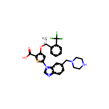 C[C@@H](Oc1cc(-n2cnc3ccc(CN4CCNCC4)cc32)sc1C(=O)O)c1ccccc1C(F)(F)F